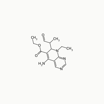 CCOC(=O)C1=C(N)c2cncnc2N(CC)C1C(C)C=O